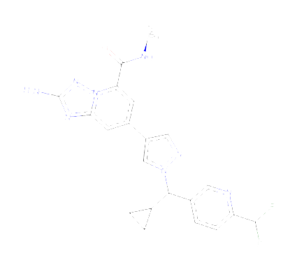 CC[C@H](C)NC(=O)c1cc(-c2cnn(C(c3ccc(C(F)F)nc3)C3CC3)c2)cc2nc(N)nn12